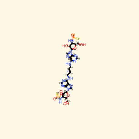 O=[PH](S)NC1[C@@H](O)C(n2cnc3c(NC/C=C/CNc4ncnc5c4ncn5[C@@H]4O[C@H](CO)C(N[PH](=O)S)[C@H]4O)ncnc32)O[C@@H]1CO